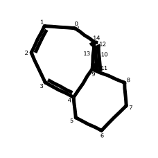 [C]1C=CC=C2CCCCC23CC=CC=C13